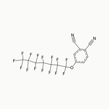 N#Cc1ccc(OC(F)(F)C(F)(F)C(F)(F)C(F)(F)C(F)(F)C(F)(F)C(F)(F)F)cc1C#N